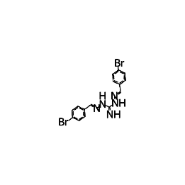 N=C(NN=Cc1ccc(Br)cc1)NN=Cc1ccc(Br)cc1